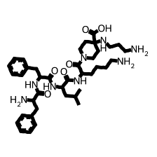 CC(C)CC(NC(=O)C(Cc1ccccc1)NC(=O)C(N)Cc1ccccc1)C(=O)NC(CCCCN)C(=O)N1CCC(NCCCN)(C(=O)O)CC1